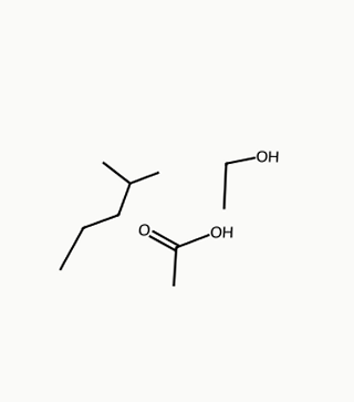 CC(=O)O.CCCC(C)C.CCO